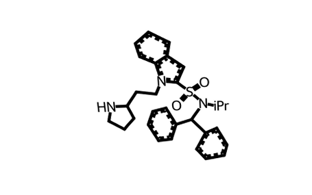 CC(C)N(C(c1ccccc1)c1ccccc1)S(=O)(=O)c1cc2ccccc2n1CCC1CCCN1